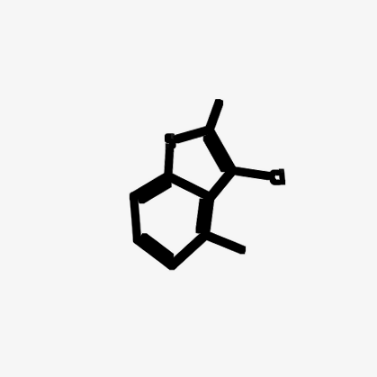 Cc1sc2cccc(C)c2c1Cl